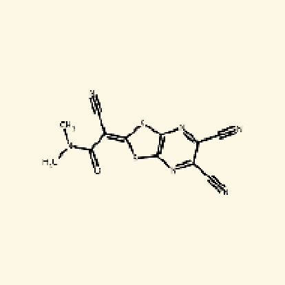 CN(C)C(=O)C(C#N)=C1Sc2nc(C#N)c(C#N)nc2S1